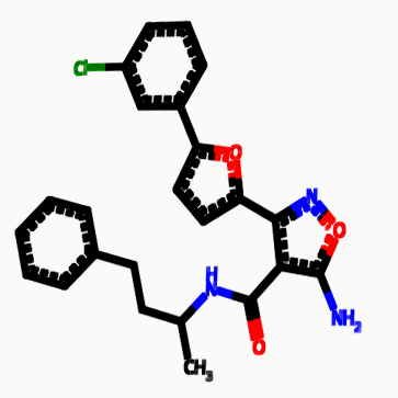 CC(CCc1ccccc1)NC(=O)c1c(-c2ccc(-c3cccc(Cl)c3)o2)noc1N